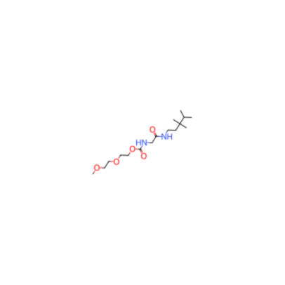 COCCOCCOC(=O)NCC(=O)NCCC(C)(C)C(C)C